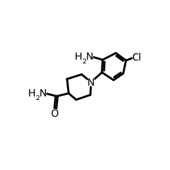 NC(=O)C1CCN(c2ccc(Cl)cc2N)CC1